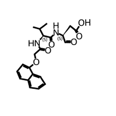 CC(C)[C@H](NC(=O)COc1cccc2ccccc12)C(=O)N[C@H](C=O)CC(=O)O